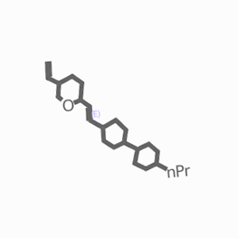 C=CC1CCC(/C=C/C2CCC(C3CCC(CCC)CC3)CC2)OC1